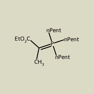 CCCCCP(CCCCC)(CCCCC)=C(C)C(=O)OCC